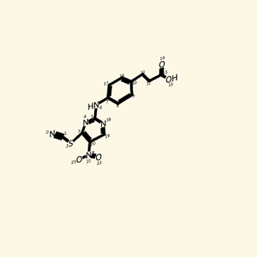 N#CSc1nc(Nc2ccc(CCC(=O)O)cc2)ncc1[N+](=O)[O-]